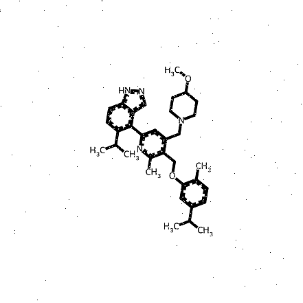 COC1CCN(Cc2cc(-c3c(C(C)C)ccc4[nH]ncc34)nc(C)c2COc2cc(C(C)C)ccc2C)CC1